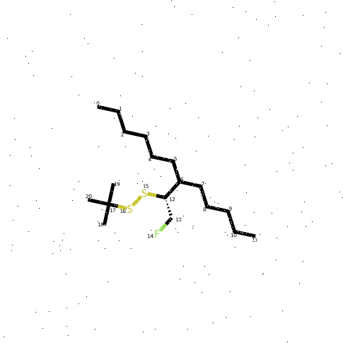 CCCCCCC(CCCCC)[C@H](CF)SSC(C)(C)C